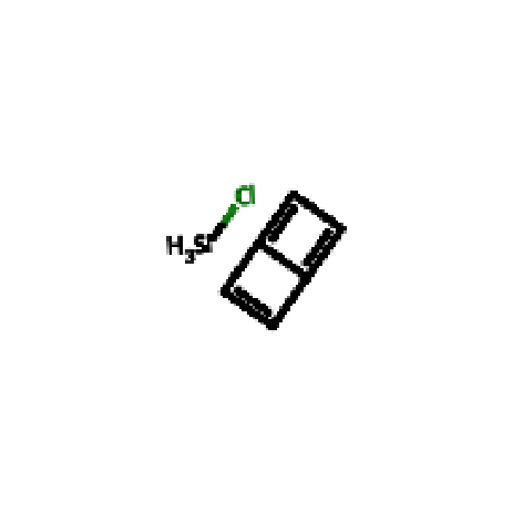 [SiH3]Cl.c1cc2ccc1-2